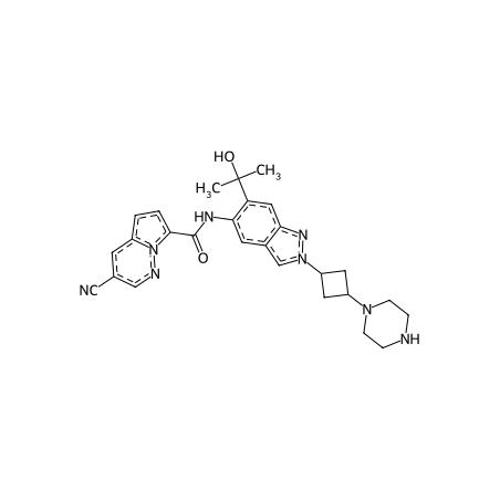 CC(C)(O)c1cc2nn(C3CC(N4CCNCC4)C3)cc2cc1NC(=O)c1ccc2cc(C#N)cnn12